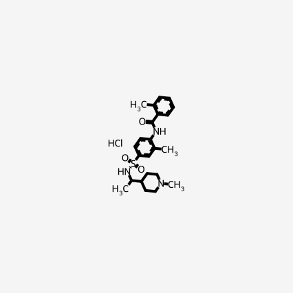 Cc1cc(S(=O)(=O)NC(C)C2CCN(C)CC2)ccc1NC(=O)c1ccccc1C.Cl